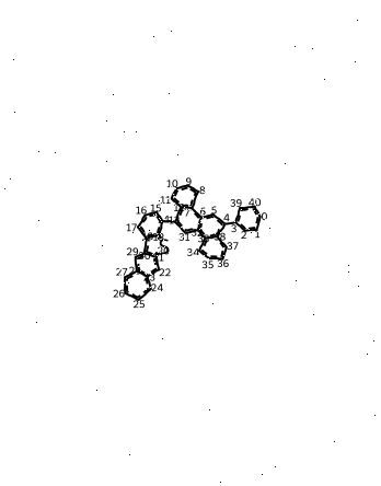 c1ccc(-c2cc3c4ccccc4c(-c4cccc5c4sc4cc6ccccc6cc45)cc3c3ccccc23)cc1